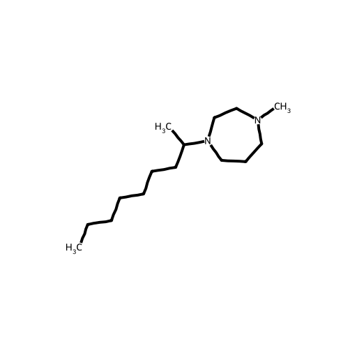 CCCCCCCC(C)N1CCCN(C)CC1